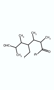 CC(C)C(=O)C(C)C(C)C(CI)C(C)C(C)C=O